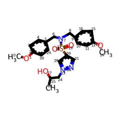 COc1ccc(CN(Cc2ccc(OC)cc2)S(=O)(=O)c2cnn(CC(C)O)c2)cc1